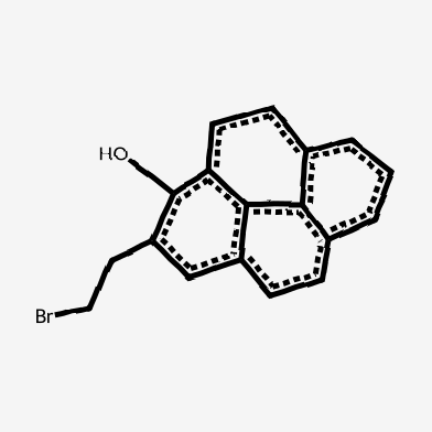 Oc1c(CCBr)cc2ccc3cccc4ccc1c2c34